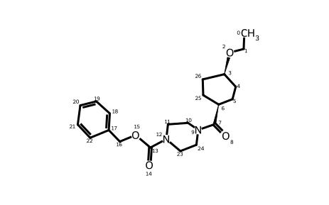 CCO[C@H]1CC[C@@H](C(=O)N2CCN(C(=O)OCc3ccccc3)CC2)CC1